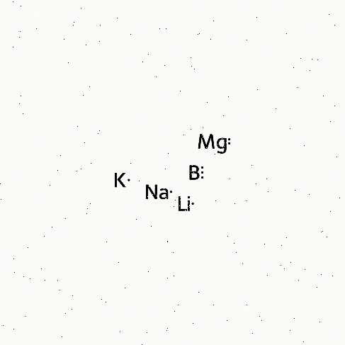 [B].[K].[Li].[Mg].[Na]